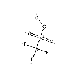 [O]OS(=O)(=O)C(F)(F)F